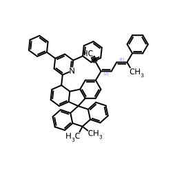 C#C/C(=C\C=C(/C)c1ccccc1)c1ccc2c(c1)C1C(=CC=CC1c1cc(-c3ccccc3)cc(-c3ccccc3)n1)C21c2ccccc2C(C)(C)c2ccccc21